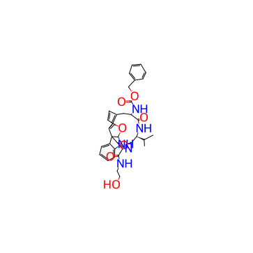 CC(C)[C@@H]1NC(=O)[C@@H](NC(=O)OCc2ccccc2)Cc2ccc3c(c2)C2(c4ccccc4NC2O3)c2oc1nc2C(=O)NCCO